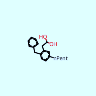 CCCCCc1ccc(Cc2ccccc2)c(CC(O)O)c1